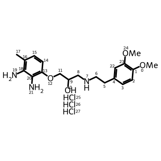 COc1ccc(CCNCC(O)COc2ccc(C)c(N)c2N)cc1OC.Cl.Cl.Cl